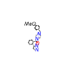 COc1ccc(CN2CCN(C(=O)c3ccccc3-c3ccncn3)CC2)cc1